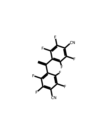 C=C(c1c(F)c(F)c(C#N)c(F)c1F)c1c(F)c(F)c(C#N)c(F)c1F